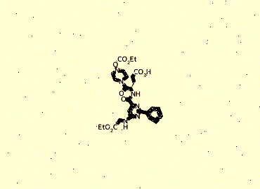 CCOC(=O)CNc1cc(C(=O)N[C@@H](CCC(=O)O)C(=O)N2CCN(OC(=O)OCC)CC2)nc(-c2ccccc2)n1